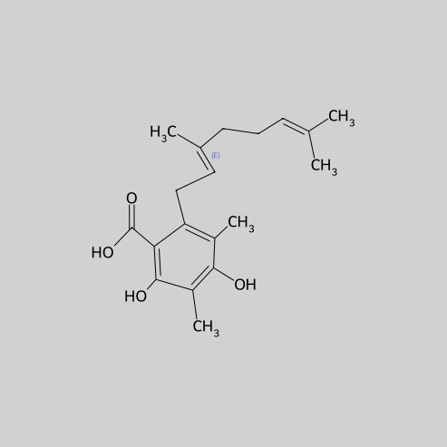 CC(C)=CCC/C(C)=C/Cc1c(C)c(O)c(C)c(O)c1C(=O)O